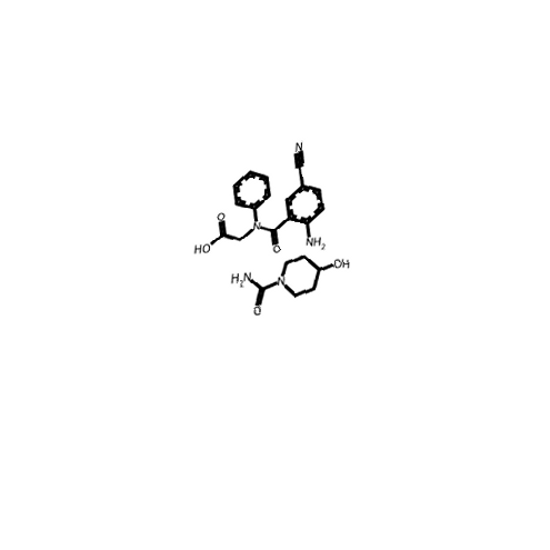 N#Cc1ccc(N)c(C(=O)N(CC(=O)O)c2ccccc2)c1.NC(=O)N1CCC(O)CC1